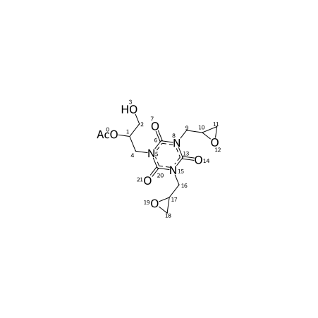 CC(=O)OC(CO)Cn1c(=O)n(CC2CO2)c(=O)n(CC2CO2)c1=O